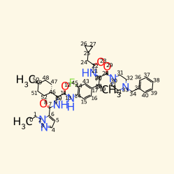 CCn1nccc1C(=O)N[C@H](C(=O)Nc1ccc([C@H](C)[C@@H](NC(=O)CC2CC2)C(=O)N2CCN(Cc3ccccc3)CC2)cc1F)[C@H]1CC[C@H](C)CC1